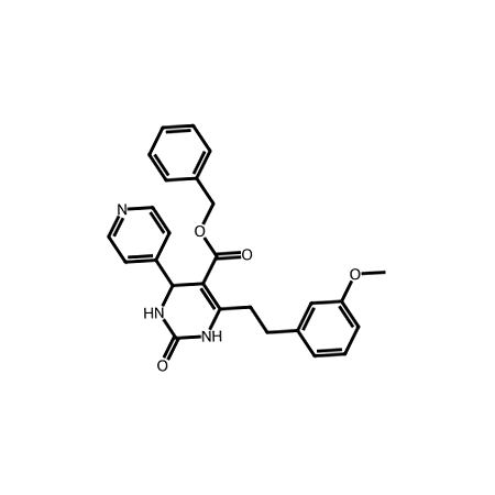 COc1cccc(CCC2=C(C(=O)OCc3ccccc3)C(c3ccncc3)NC(=O)N2)c1